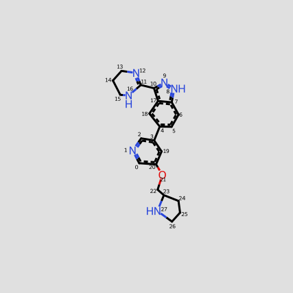 c1ncc(-c2ccc3[nH]nc(C4=NCCCN4)c3c2)cc1OCC1CCCN1